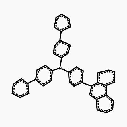 c1ccc(-c2ccc(N(c3ccc(-c4ccccc4)cc3)c3ccc(-c4cc5ccccc5c5ccccc45)cc3)cc2)cc1